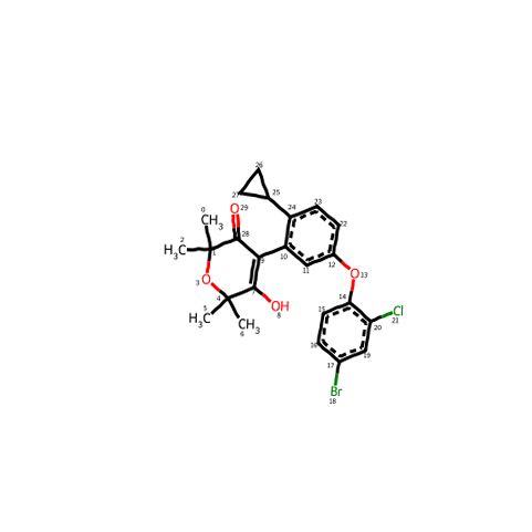 CC1(C)OC(C)(C)C(O)=C(c2cc(Oc3ccc(Br)cc3Cl)ccc2C2CC2)C1=O